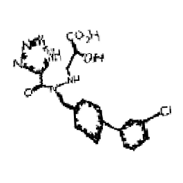 O=C(O)C(O)CNN(Cc1ccc(-c2cccc(Cl)c2)cc1)C(=O)c1nnn[nH]1